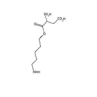 CCCCCCCCCCCCCCCOC(=O)C(CC(=O)O)S(=O)(=O)O